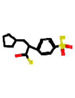 O=C(S)C(CC1CCCC1)c1ccc(S(=O)(=O)S)cc1